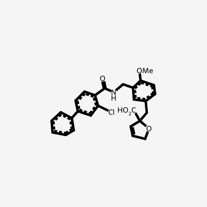 COc1ccc(CC2(C(=O)O)C=CCO2)cc1CNC(=O)c1ccc(-c2ccccc2)cc1Cl